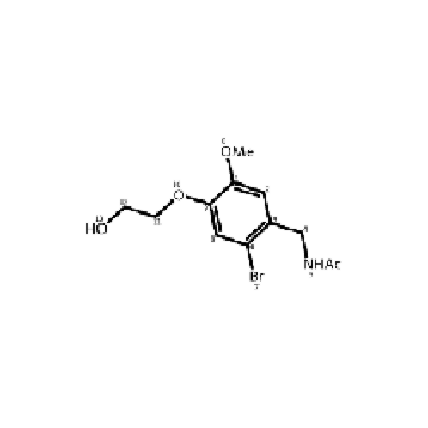 COc1cc(CNC(C)=O)c(Br)cc1OCCO